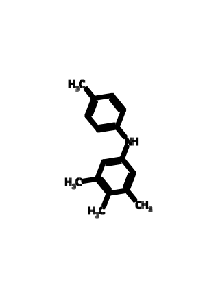 Cc1ccc(Nc2cc(C)c(C)c(C)c2)cc1